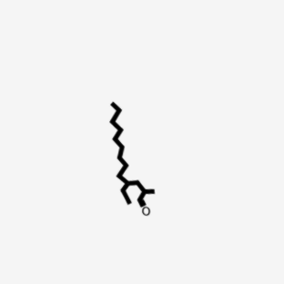 CCCCCCCCCC(CC)CC(C)C=O